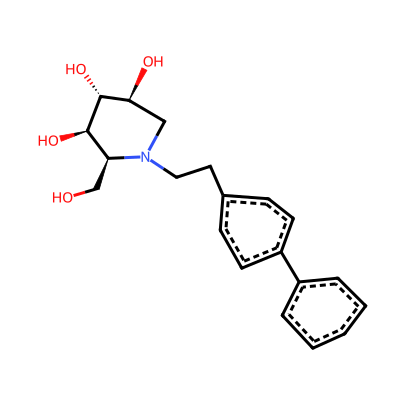 OC[C@H]1[C@@H](O)[C@H](O)[C@@H](O)CN1CCc1ccc(-c2ccccc2)cc1